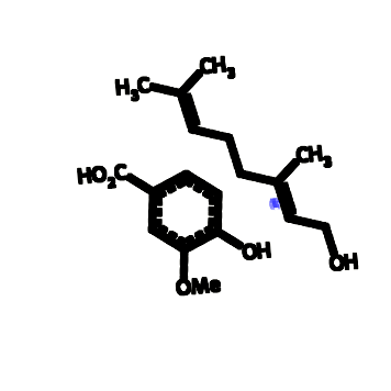 CC(C)=CCC/C(C)=C/CO.COc1cc(C(=O)O)ccc1O